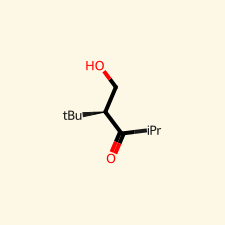 CC(C)C(=O)[C@H](CO)C(C)(C)C